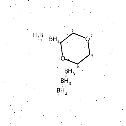 B.B.B.B.B.C1COCCO1